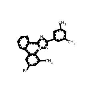 Cc1cc(C)cc(-c2nc3c4ccccc4c4cc(Br)cc(C)c4n3n2)c1